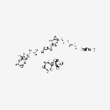 CCCCCCCCCCCCCCCCC[C@H]1OC[C@H](COCCCCCC[N+]2(C)CCOCC2)O1.Cc1ccc(S(=O)(=O)[O-])cc1